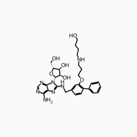 Nc1ncnc2c1nc(NCc1ccc(-c3ccccc3)c(OCCCNCCCCO)c1)n2[C@@H]1O[C@H](CO)[C@@H](O)[C@H]1O